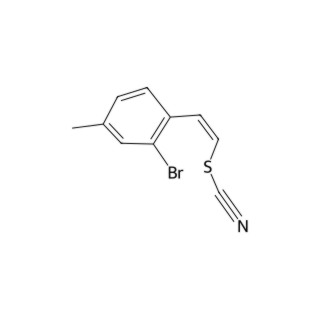 Cc1ccc(/C=C\SC#N)c(Br)c1